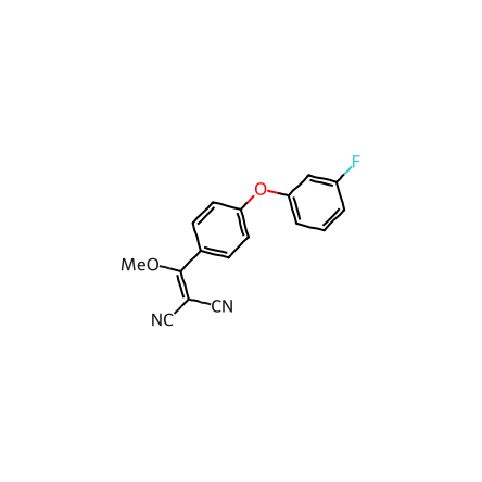 COC(=C(C#N)C#N)c1ccc(Oc2cccc(F)c2)cc1